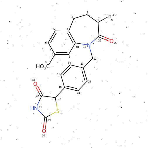 CCCC1CCc2ccc(C(=O)O)cc2N(Cc2ccc(C3SC(=O)NC3=O)cc2)C1=O